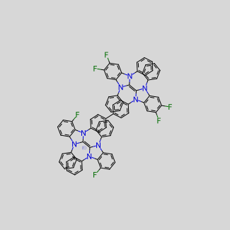 Fc1cc2c(cc1F)N(c1ccccc1)C(=C1N(c3ccccc3)c3cc(F)c(F)cc3N1c1ccc(-c3ccc(N4/C(=C5\N(c6ccccc6)c6cccc(F)c6N5c5ccccc5)N(c5ccccc5)c5cccc(F)c54)cc3)cc1)N2c1ccccc1